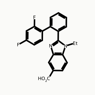 CCn1c(-c2ccccc2-c2ccc(F)cc2F)nc2cc(C(=O)O)ccc21